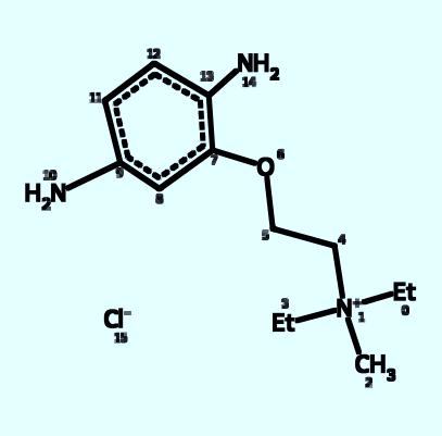 CC[N+](C)(CC)CCOc1cc(N)ccc1N.[Cl-]